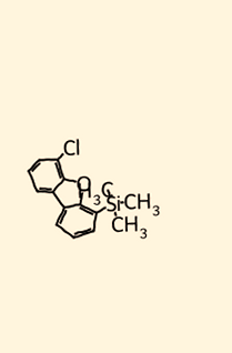 C[Si](C)(C)c1cccc2c1oc1c(Cl)cccc12